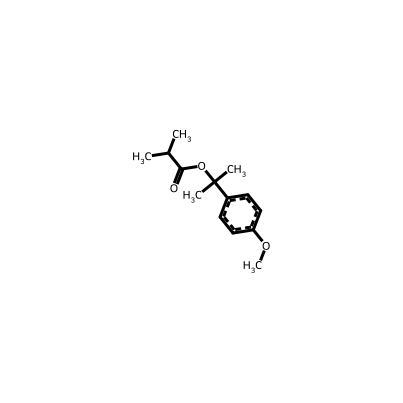 COc1ccc(C(C)(C)OC(=O)C(C)C)cc1